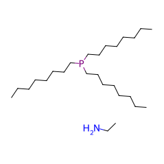 CCCCCCCCP(CCCCCCCC)CCCCCCCC.CCN